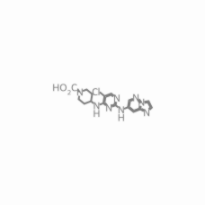 O=C(O)N1CCC(Nc2nc(Nc3cnn4ccnc4c3)ncc2Cl)CC1